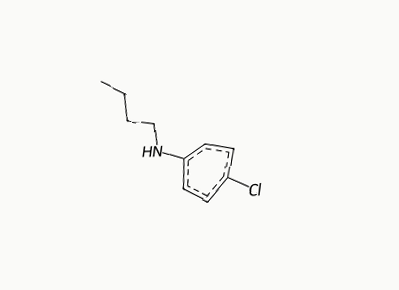 CCCCNc1ccc(Cl)cc1